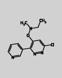 CCN(C)Oc1cc(Cl)nnc1-c1cccnc1